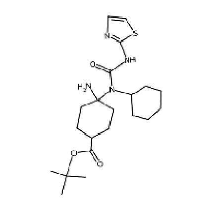 CC(C)(C)OC(=O)C1CCC(N)(N(C(=O)Nc2nccs2)C2CCCCC2)CC1